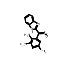 Cc1cc(C)c(N)c(C(=S=O)c2nc3ccccc3[nH]2)c1